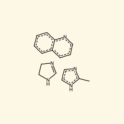 C1=NCCN1.Cc1ncc[nH]1.c1ccc2ncccc2c1